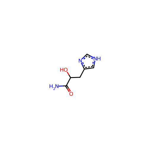 NC(=O)C(O)Cc1c[nH]cn1